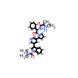 CN[C@@H](C)C(=O)NC(C(=O)N1CCCC1c1cncc(-c2cn(C(=O)N(C)C)c3ccccc23)c1)C1CCCCC1